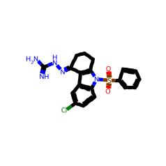 N=C(N)NN=C1CCCc2c1c1cc(Cl)ccc1n2S(=O)(=O)c1ccccc1